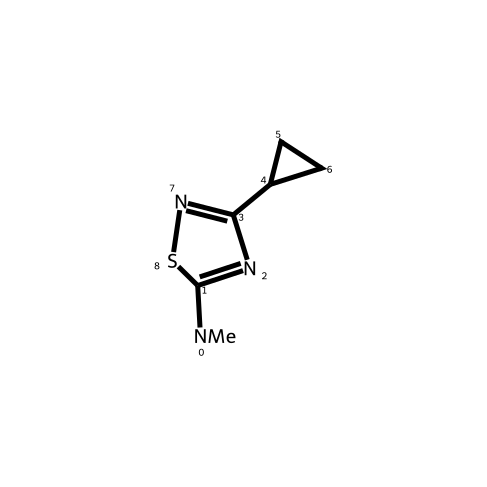 CNc1nc(C2CC2)ns1